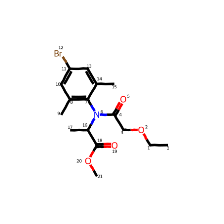 CCOCC(=O)N(c1c(C)cc(Br)cc1C)C(C)C(=O)OC